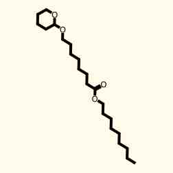 CCCCCCCCCOC(=O)CCCCCCCOC1CCCCO1